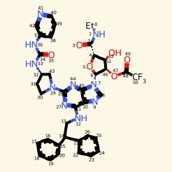 CCNC(=O)[C@H]1O[C@@H](n2cnc3c(NCC(c4ccccc4)c4ccccc4)nc(N4CC[C@@H](NC(=O)Nc5cccnc5)C4)nc32)[C@H](OC(=O)C(F)(F)F)[C@@H]1O